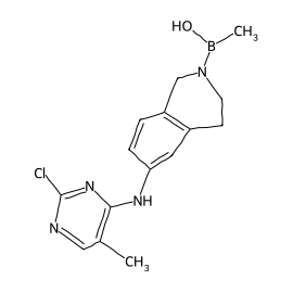 CB(O)N1CCc2cc(Nc3nc(Cl)ncc3C)ccc2C1